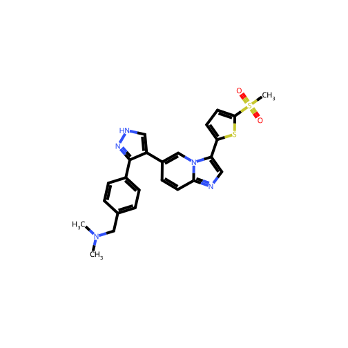 CN(C)Cc1ccc(-c2n[nH]cc2-c2ccc3ncc(-c4ccc(S(C)(=O)=O)s4)n3c2)cc1